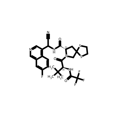 CC(C)(C)[C@H](NC(=O)C(F)(F)F)C(=O)N1CC2(C[C@H]1C(=O)NC(C#N)c1cncc3cc(F)ccc13)SCCS2